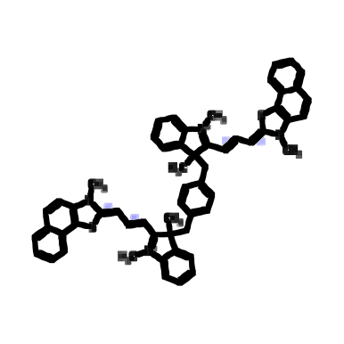 CN1/C(=C/C=C/C2=[N+](C)c3ccccc3C2(C)Cc2ccc(CC3(C)C(/C=C/C=C4\Sc5c(ccc6ccccc56)N4C)=[N+](C)c4ccccc43)cc2)Sc2c1ccc1ccccc21